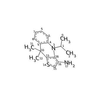 CC(C)N1c2ccccc2C(C)(C)c2scc(N)c21